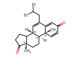 CCC(CC)CC1=C[C@H]2C3CCC(=O)[C@@]3(C)CC[C@@H]2[C@@]2(C)C=CC(=O)C=C12